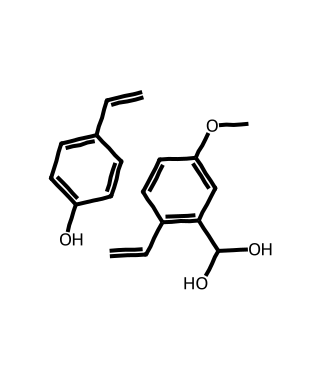 C=Cc1ccc(O)cc1.C=Cc1ccc(OC)cc1C(O)O